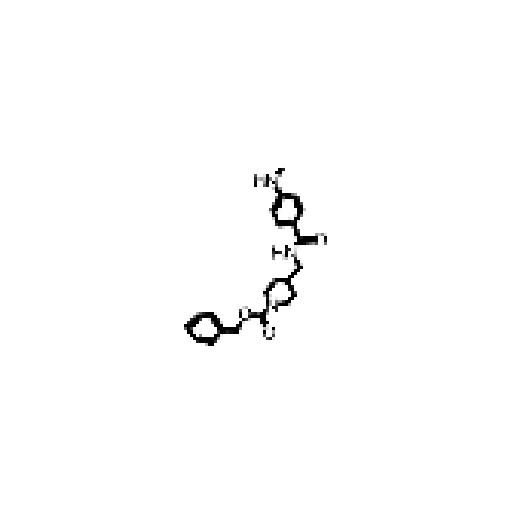 CNc1ccc(C(=O)NCC2CCN(C(=O)OCc3ccccc3)CC2)cc1